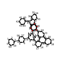 c1ccc(-c2ccc(-c3cc(-c4cccc5c6ccccc6c6ccc(-c7ccc8c(c7)c7ccccc7n8-c7ccccc7)cc6c45)nc(-c4ccccc4)n3)cc2)cc1